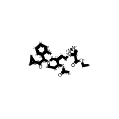 CCOC(=O)c1cnnn1CC=C1CN(C(C(=O)C2CC2)c2ccccc2F)CCC1SC(C)=O